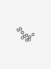 c1ccc(-c2ccc3c(c2)oc2cccc(-c4c5ccccc5c(-c5ccc(-c6cccc7ccccc67)cc5)c5ccccc45)c23)cc1